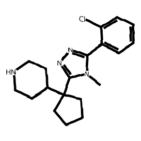 Cn1c(-c2ccccc2Cl)nnc1C1(C2CCNCC2)CCCC1